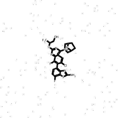 Nc1nc2c(-c3c(Cl)cc4c(N5CC6CCC(C5)N6)nc(OC(CO)C(F)(F)F)nc4c3F)ccc(F)c2s1